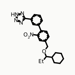 CCC(OCc1ccc(-c2cccc(-c3nn[nH]n3)c2)c([N+](=O)[O-])c1)C1CCCCC1